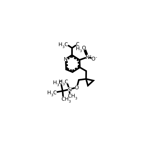 CC(C)c1nccc(CC2(CO[Si](C)(C)C(C)(C)C)CC2)c1[N+](=O)[O-]